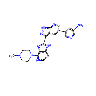 CN1CCN(c2nccc3[nH]c(-c4n[nH]c5ncc(-c6cncc(N)c6)cc45)nc23)CC1